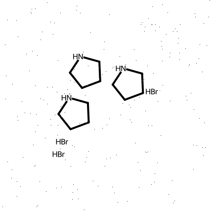 Br.Br.Br.C1CCNC1.C1CCNC1.C1CCNC1